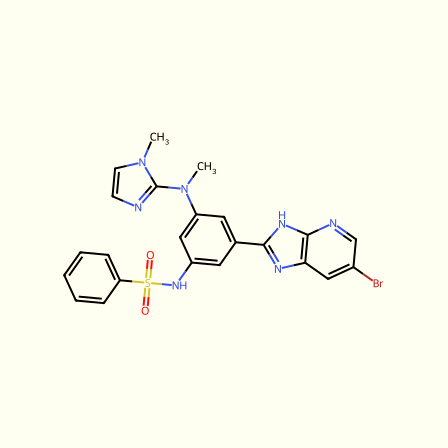 CN(c1cc(NS(=O)(=O)c2ccccc2)cc(-c2nc3cc(Br)cnc3[nH]2)c1)c1nccn1C